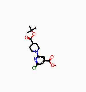 COC(=O)c1cc(Cl)nc(N2CCC(C(=O)OC(C)(C)C)CC2)c1